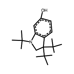 CC(C)(C)N1CC(C(C)(C)C)(C(C)(C)C)c2ccc(O)cc21